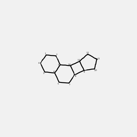 C1CCC2C(C1)CCC1C3CCCC3C21